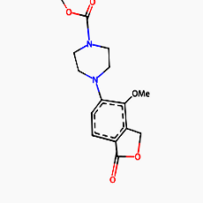 COc1c(N2CCN(C(=O)OC(C)(C)C)CC2)ccc2c1COC2=O